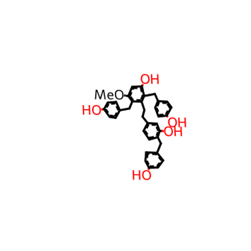 COc1cc(O)c(Cc2ccc(O)cc2)c(CCc2ccc(Cc3ccc(O)cc3)c(O)c2)c1Cc1ccc(O)cc1